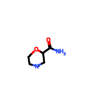 NC(=O)C1C[N]CCO1